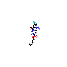 CCCCOC(=O)N1CCN(C(=O)[C@@H](N)CC(F)F)CC1